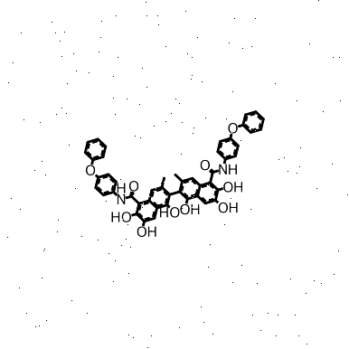 Cc1cc2c(C(=O)Nc3ccc(Oc4ccccc4)cc3)c(O)c(O)cc2c(O)c1-c1c(C)cc2c(C(=O)Nc3ccc(Oc4ccccc4)cc3)c(O)c(O)cc2c1O